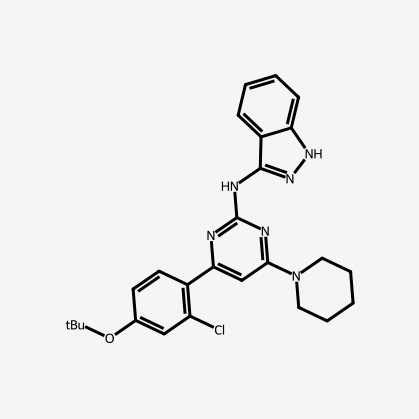 CC(C)(C)Oc1ccc(-c2cc(N3CCCCC3)nc(Nc3n[nH]c4ccccc34)n2)c(Cl)c1